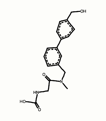 CN(Cc1cccc(-c2ccc(CO)cc2)c1)C(=O)CNC(=O)O